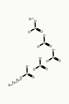 O=[Si]([O-])[O-].O=[Si]([O-])[O-].O=[Si]([O-])[O-].O=[Si]([O-])[O-].O=[Si]([O-])[O-].[Fe+3].[Fe+3].[Sr+2].[Sr+2]